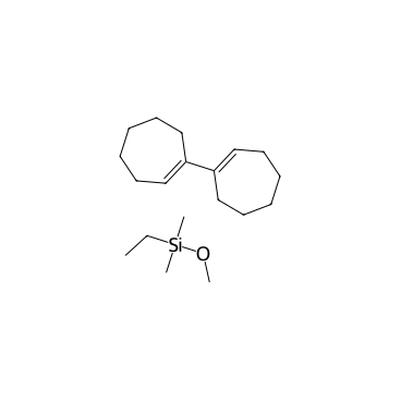 C1=C(C2=CCCCCC2)CCCCC1.CC[Si](C)(C)OC